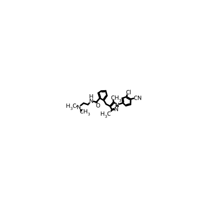 Cc1nn(-c2ccc(C#N)c(Cl)c2)c(C)c1Cc1ccccc1C(=O)NCCN(C)C